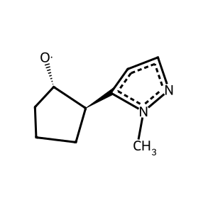 Cn1nccc1[C@H]1CCC[C@@H]1[O]